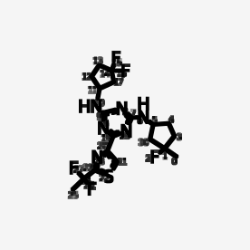 CC1(F)CCC(Nc2nc(NC3CCC(F)(F)C3)nc(-c3csc(C(C)(F)F)n3)n2)C1